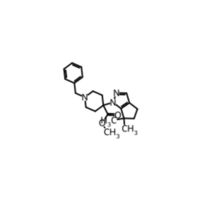 COC(=O)C1(n2ncc3c2C(C)(C)CC3)CCN(Cc2ccccc2)CC1